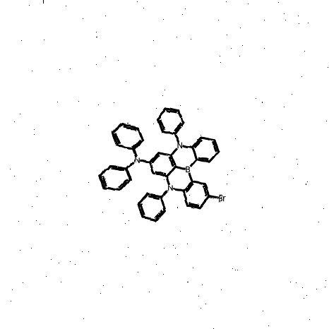 Brc1ccc2c(c1)B1c3ccccc3N(c3ccccc3)c3cc(N(c4ccccc4)c4ccccc4)cc(c31)N2c1ccccc1